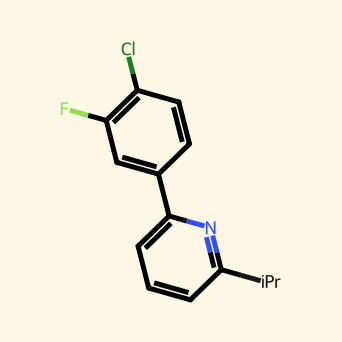 CC(C)c1cccc(-c2ccc(Cl)c(F)c2)n1